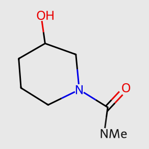 CNC(=O)N1CCCC(O)C1